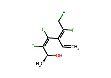 C=CC(/C(F)=C(/F)[C@H](C)O)=C(\F)CF